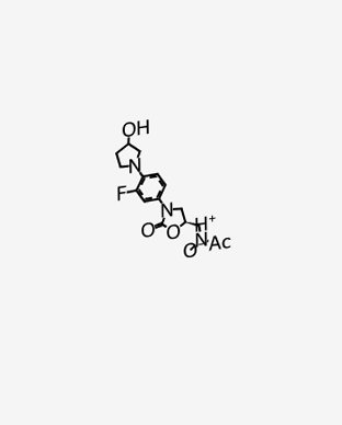 CC(=O)[NH+]([O-])C[C@@H]1CN(c2ccc(N3CCC(O)C3)c(F)c2)C(=O)O1